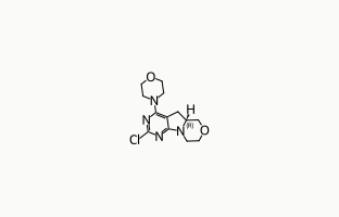 Clc1nc(N2CCOCC2)c2c(n1)N1CCOC[C@H]1C2